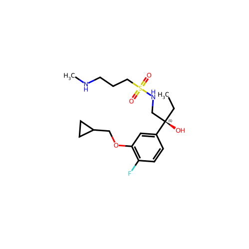 CC[C@@](O)(CNS(=O)(=O)CCCNC)c1ccc(F)c(OCC2CC2)c1